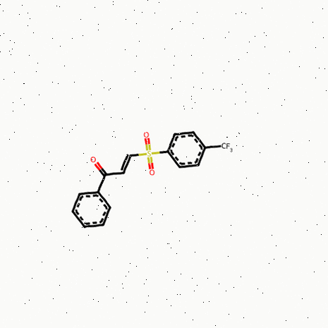 O=C(/C=C/S(=O)(=O)c1ccc(C(F)(F)F)cc1)c1ccccc1